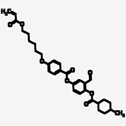 C=CC(=O)OCCCCCCOc1ccc(C(=O)Oc2ccc(OC(=O)C3CCC(C)CC3)c(C=O)c2)cc1